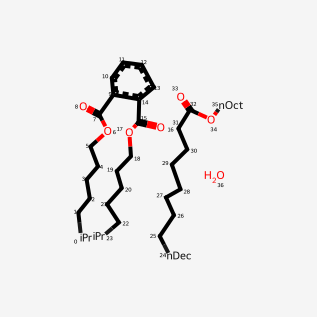 CC(C)CCCCCOC(=O)c1ccccc1C(=O)OCCCCCC(C)C.CCCCCCCCCCCCCCCCCC(=O)OCCCCCCCC.O